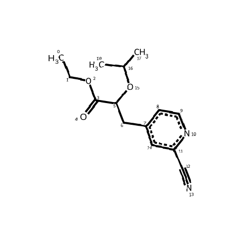 CCOC(=O)C(Cc1ccnc(C#N)c1)OC(C)C